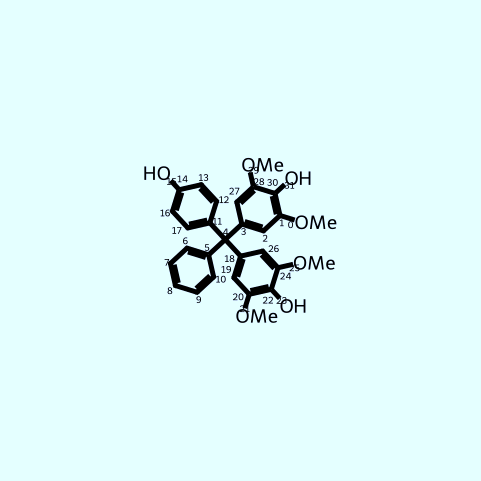 COc1cc(C(c2ccccc2)(c2ccc(O)cc2)c2cc(OC)c(O)c(OC)c2)cc(OC)c1O